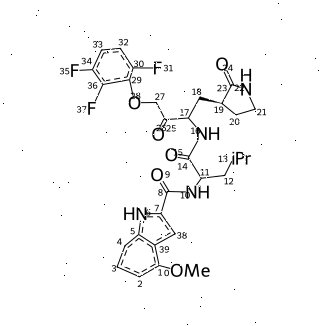 COc1cccc2[nH]c(C(=O)NC(CC(C)C)C(=O)NC(C[C@@H]3CCNC3=O)C(=O)COc3c(F)ccc(F)c3F)cc12